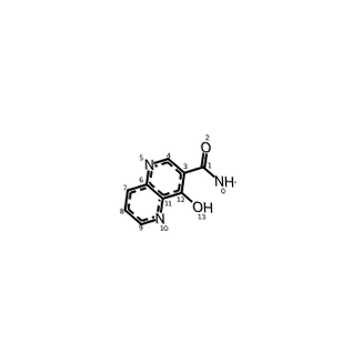 [NH]C(=O)c1cnc2cccnc2c1O